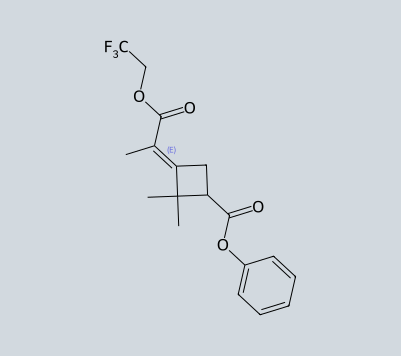 C/C(C(=O)OCC(F)(F)F)=C1/CC(C(=O)Oc2ccccc2)C1(C)C